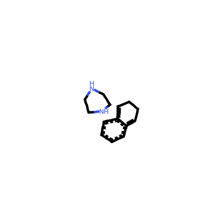 C1=c2ccccc2=CCC1.C1CNCCN1